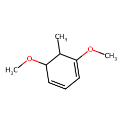 COC1=CC=CC(OC)C1C